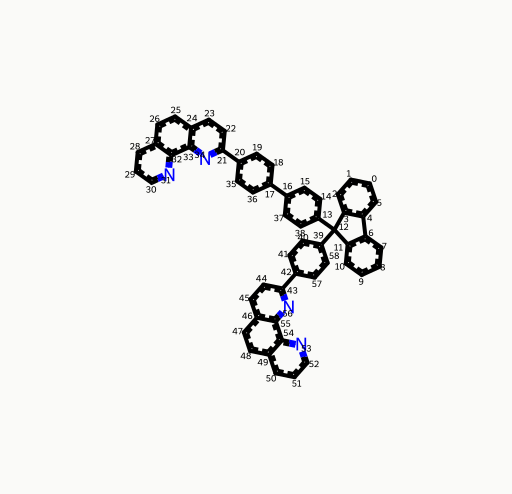 c1ccc2c(c1)-c1ccccc1C2(c1ccc(-c2ccc(-c3ccc4ccc5cccnc5c4n3)cc2)cc1)c1ccc(-c2ccc3ccc4cccnc4c3n2)cc1